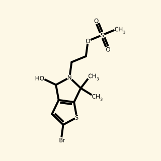 CC1(C)c2sc(Br)cc2C(O)N1CCOS(C)(=O)=O